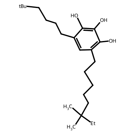 CCC(C)(C)CCCCCc1cc(CCCCC(C)(C)C)c(O)c(O)c1O